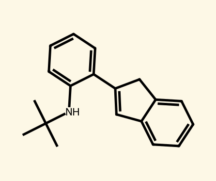 CC(C)(C)Nc1ccccc1C1=Cc2ccccc2C1